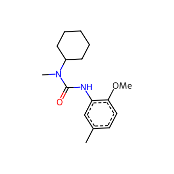 COc1ccc(C)cc1NC(=O)N(C)C1CCCCC1